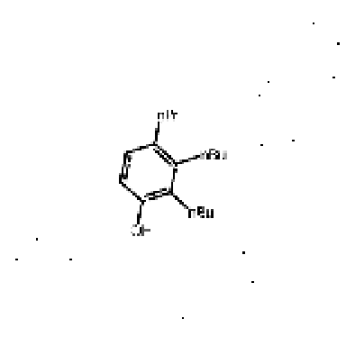 CCCCc1c(O)ccc(CCC)c1CCCC